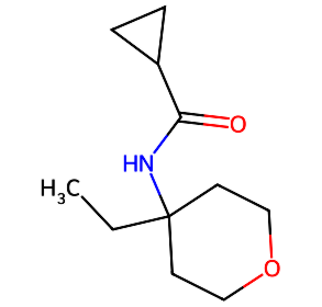 CCC1(NC(=O)C2CC2)CCOCC1